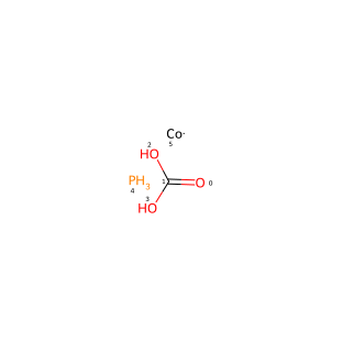 O=C(O)O.P.[Co]